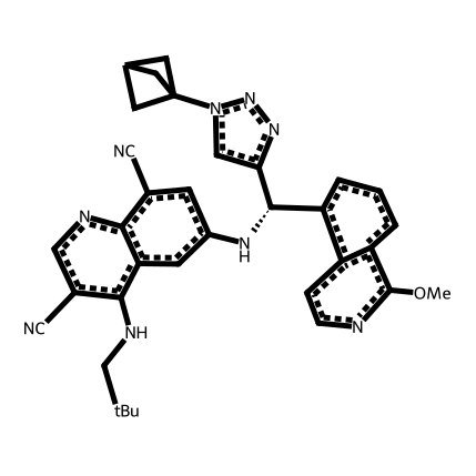 COc1nccc2c([C@H](Nc3cc(C#N)c4ncc(C#N)c(NCC(C)(C)C)c4c3)c3cn(C45CC(C4)C5)nn3)cccc12